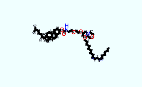 CCCCC/C=C\C/C=C\CCCCCCCCOCC(CN1CCOCC1)OCCOCCNC(=O)O[C@H]1CC[C@@]2(C)C(=CC[C@H]3[C@@H]4CC[C@H]([C@H](C)CCCC(C)C)[C@@]4(C)CC[C@@H]32)C1